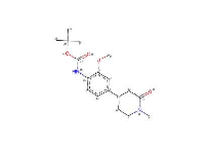 COc1cc(C2CCN(C)C(=O)C2)ccc1NC(=O)OC(C)(C)C